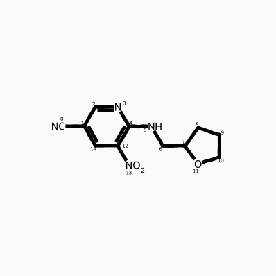 N#Cc1cnc(NCC2CCCO2)c([N+](=O)[O-])c1